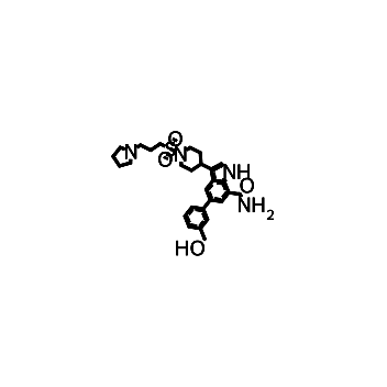 NC(=O)c1cc(-c2cccc(CO)c2)cc2c(C3CCN(S(=O)(=O)CCCN4CCCC4)CC3)c[nH]c12